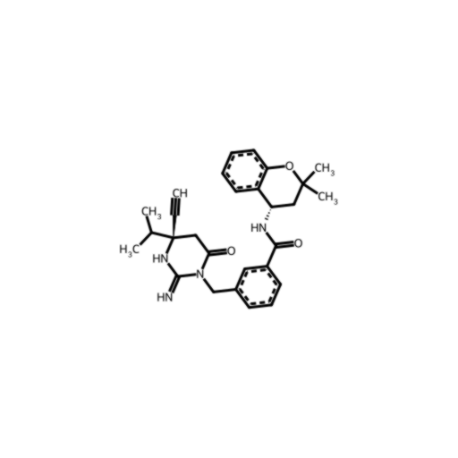 C#C[C@@]1(C(C)C)CC(=O)N(Cc2cccc(C(=O)N[C@H]3CC(C)(C)Oc4ccccc43)c2)C(=N)N1